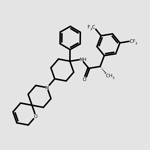 C[C@H](C(=O)NC1(c2ccccc2)CCC(N2CCC3(CC=CCO3)CC2)CC1)c1cc(C(F)(F)F)cc(C(F)(F)F)c1